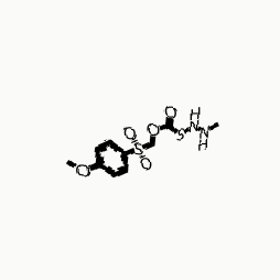 CNNSC(=O)OCS(=O)(=O)c1ccc(OC)cc1